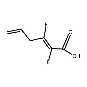 C=CCC(F)=C(F)C(=O)O